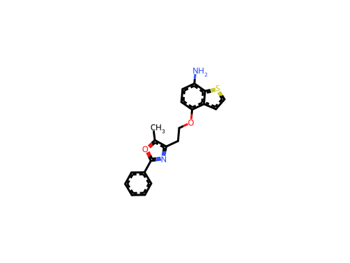 Cc1oc(-c2ccccc2)nc1CCOc1ccc(N)c2sccc12